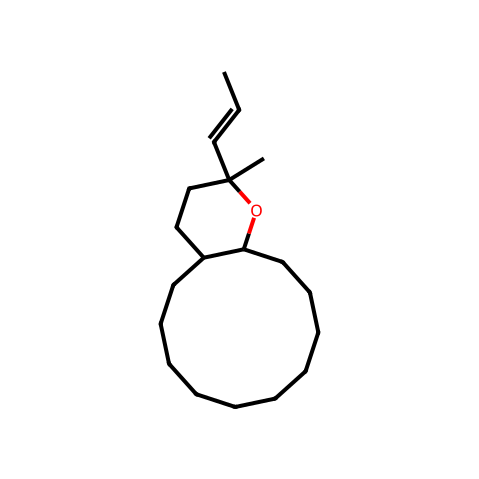 CC=CC1(C)CCC2CCCCCCCCCCC2O1